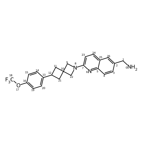 NCc1ccc2nc(N3CC4(CC(c5ccc(OC(F)(F)F)cc5)C4)C3)ccc2c1